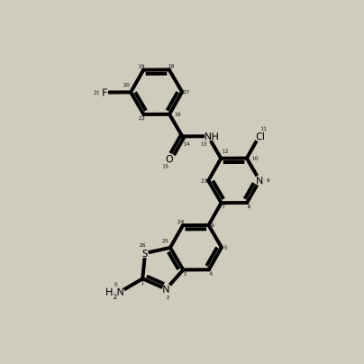 Nc1nc2ccc(-c3cnc(Cl)c(NC(=O)c4cccc(F)c4)c3)cc2s1